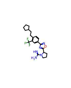 N=C(N)N1CCCC1c1nc(-c2ccc(CCC3CCCC3)c(C(F)(F)F)c2)no1